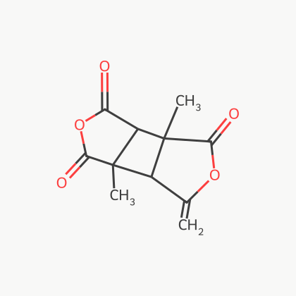 C=C1OC(=O)C2(C)C1C1(C)C(=O)OC(=O)C21